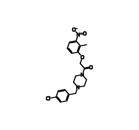 Cc1c(OCC(=O)N2CCN(Cc3ccc(Cl)cc3)CC2)cccc1[N+](=O)[O-]